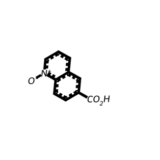 O=C(O)c1ccc2c(ccc[n+]2[O-])c1